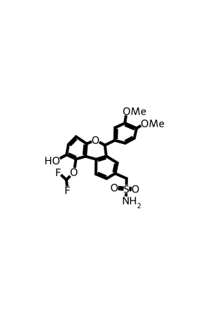 COc1ccc(C2Oc3ccc(O)c(OC(F)F)c3-c3ccc(CS(N)(=O)=O)cc32)cc1OC